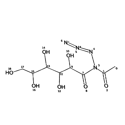 CC(=O)N(N=[N+]=[N-])C(=O)C(O)C(O)C(O)C(O)CO